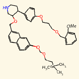 COc1ccccc1COCCCOc1ccc(C2CCNCC2OCc2ccc3ccc(OCOCC[Si](C)(C)C)cc3c2)cc1